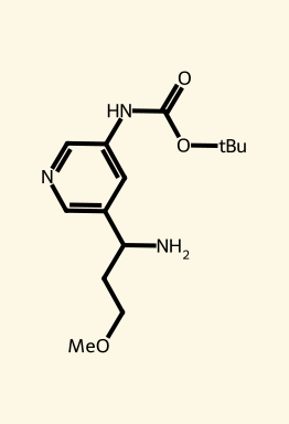 COCCC(N)c1cncc(NC(=O)OC(C)(C)C)c1